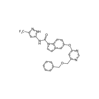 O=C(Nc1cc(C(F)(F)F)n[nH]1)n1ccc2cc(Oc3cc(COCc4ccccc4)ncn3)ccc21